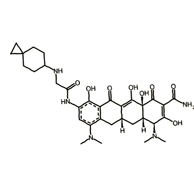 CN(C)c1cc(NC(=O)CNC2CCC3(CC2)CC3)c(O)c2c1C[C@H]1C[C@H]3[C@H](N(C)C)C(O)=C(C(N)=O)C(=O)[C@@]3(O)C(O)=C1C2=O